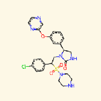 O=C1NC[C@H](c2cccc(Oc3cnccn3)c2)N1CC(c1ccc(Cl)cc1)S(=O)(=O)N1CCNCC1